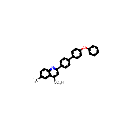 O=C(O)c1cc(-c2ccc(-c3ccc(Oc4ccccc4)cc3)cc2)nc2ccc(C(F)(F)F)cc12